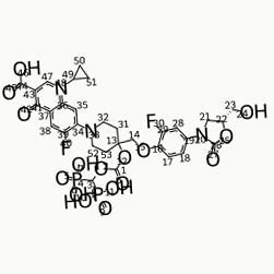 O=C(OC(P(=O)(O)O)P(=O)(O)O)OC1(COc2ccc(N3C[C@H](CO)OC3=O)cc2F)CCN(c2cc3c(cc2F)c(=O)c(C(=O)O)cn3C2CC2)CC1